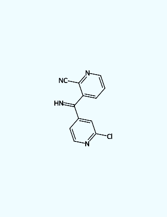 N#Cc1ncccc1C(=N)c1ccnc(Cl)c1